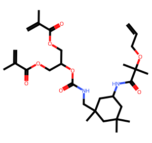 C=CCOC(C)(C)C(=O)NC1CC(C)(C)CC(C)(CNC(=O)OC(COC(=O)C(=C)C)COC(=O)C(=C)C)C1